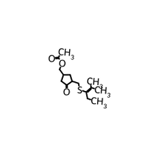 CCC(SCC1CC(COC(C)=O)CC1=O)=C(C)C